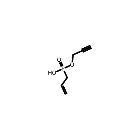 C#CCOP(=O)(O)CC=C